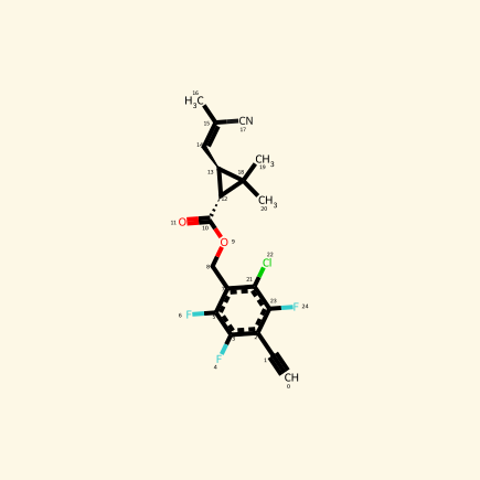 C#Cc1c(F)c(F)c(COC(=O)[C@@H]2[C@@H](/C=C(/C)C#N)C2(C)C)c(Cl)c1F